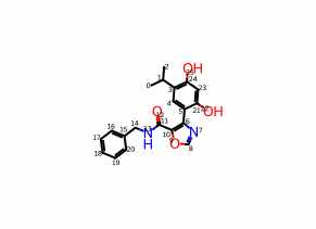 CC(C)c1cc(-c2ncoc2C(=O)NCc2ccccc2)c(O)cc1O